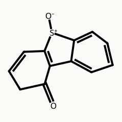 O=C1CC=Cc2c1c1ccccc1[s+]2[O-]